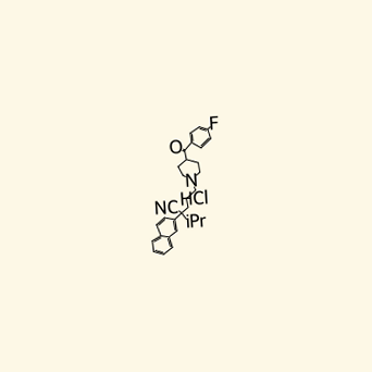 CC(C)C(C#N)(CCCN1CCC(C(=O)c2ccc(F)cc2)CC1)c1ccc2ccccc2c1.Cl